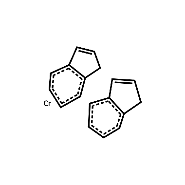 C1=Cc2ccccc2C1.C1=Cc2ccccc2C1.[Cr]